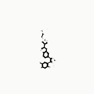 CNCCn1cc(-c2cnc3ccc(-c4nc[nH]c4-c4cc(Cl)c(F)cc4F)cc3c2)cn1